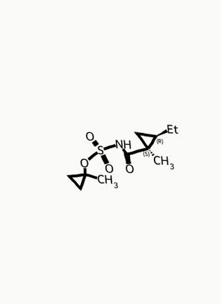 CC[C@@H]1C[C@]1(C)C(=O)NS(=O)(=O)OC1(C)CC1